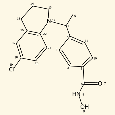 CC(c1ccc(C(=O)NO)cc1)N1CCCc2cc(Cl)ccc21